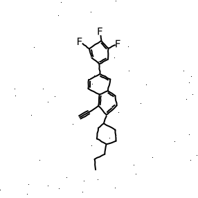 C#Cc1c(C2CCC(CCC)CC2)ccc2cc(-c3cc(F)c(F)c(F)c3)ccc12